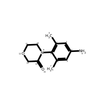 Cc1cc(N)cc(C)c1N1CCOCC1=O